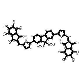 CCCCCCCCC1(CCCCCCCC)c2cc(-c3ccc(C=C4C(=O)c5c(Cl)c(Cl)c(Cl)c(Cl)c5C4=O)s3)ccc2-c2ccc(-c3ccc(C=C4C(=O)c5c(Cl)c(Cl)c(Cl)c(Cl)c5C4=O)s3)cc21